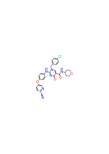 N#Cc1ccc(Oc2ccc(Nc3nc(=O)c(C(=O)NC4CCOCC4)cn3Cc3ccc(Cl)cc3)cc2)cn1